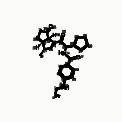 CC(C)CNc1ccc(C(=O)N[C@H](C(=O)N2C[C@@H](C)[C@H]3OCC(=O)[C@H]32)C2CCCC2)cc1